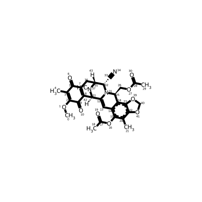 COC1=C(C)C(=O)C2=C(C1=O)[C@@H]1C3=Cc4c(OC(C)=O)c(C)c5c(c4[C@H](COC(C)=O)N3[C@@H](C#N)[C@@H](C2)N1C)OCO5